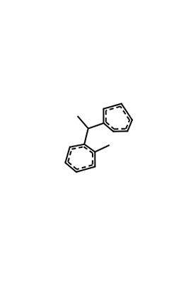 Cc1ccccc1C(C)c1ccccc1